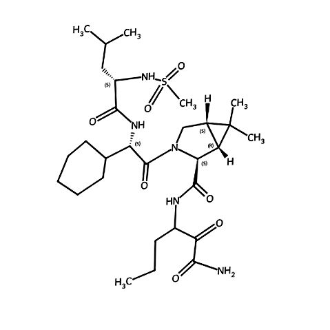 CCCC(NC(=O)[C@@H]1[C@@H]2[C@H](CN1C(=O)[C@@H](NC(=O)[C@H](CC(C)C)NS(C)(=O)=O)C1CCCCC1)C2(C)C)C(=O)C(N)=O